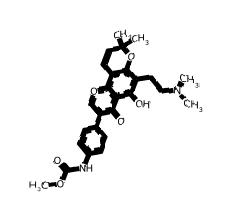 COC(=O)Nc1ccc(-c2coc3c4c(c(CCN(C)C)c(O)c3c2=O)OC(C)(C)C=C4)cc1